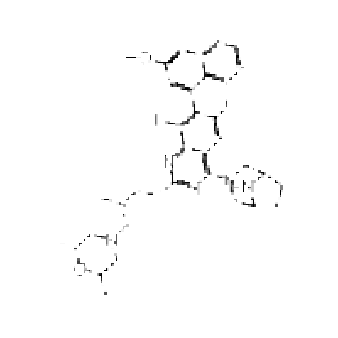 C[C@@H]1CN(CN(C)COc2nc(N3CC4CCC(C3)N4)c3cc(Cl)c(-c4cc(O)cc5ccccc45)c(F)c3n2)C[C@@H](C)O1